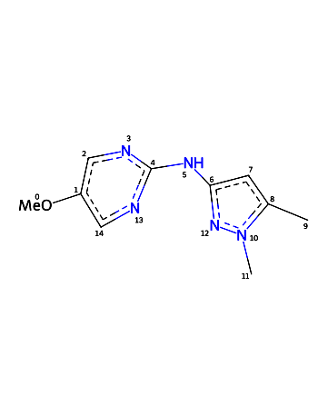 COc1cnc(Nc2cc(C)n(C)n2)nc1